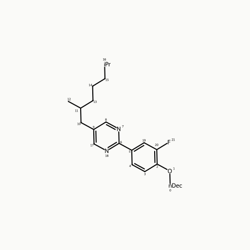 CCCCCCCCCCOc1ccc(-c2ncc(CC(C)CCCC(C)C)cn2)cc1F